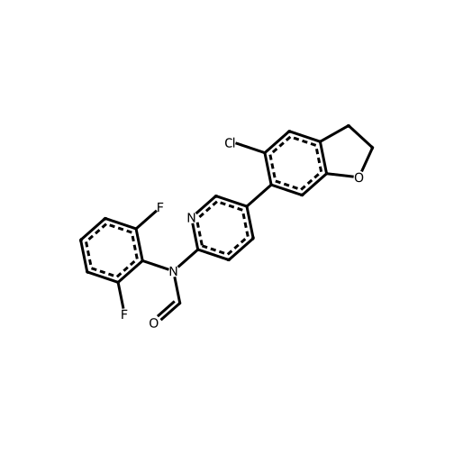 O=CN(c1ccc(-c2cc3c(cc2Cl)CCO3)cn1)c1c(F)cccc1F